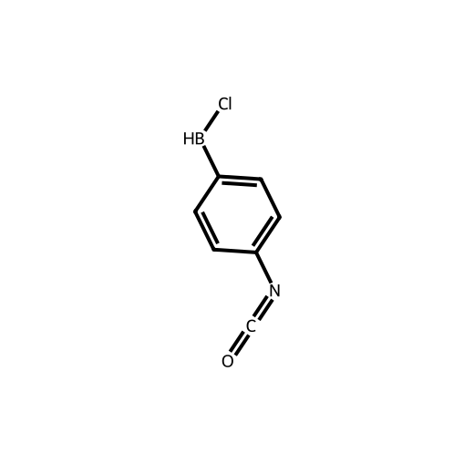 O=C=Nc1ccc(BCl)cc1